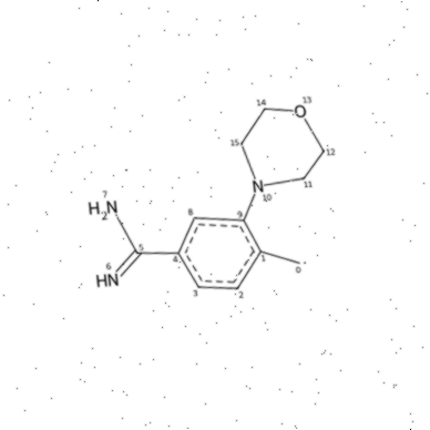 [CH2]c1ccc(C(=N)N)cc1N1CCOCC1